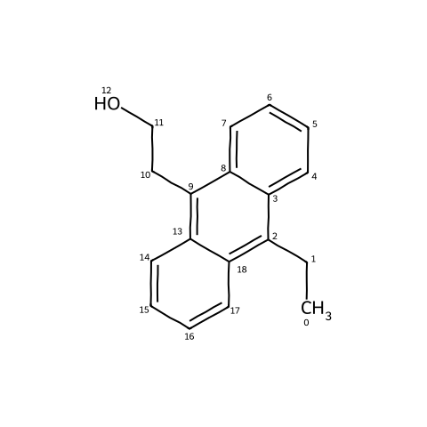 CCc1c2ccccc2c(CCO)c2ccccc12